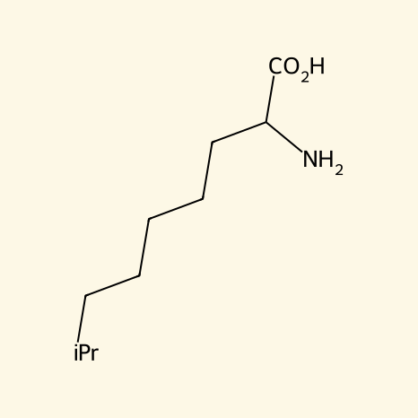 CC(C)CCCCCC(N)C(=O)O